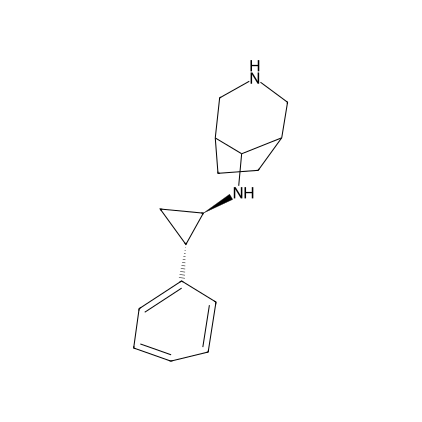 c1ccc([C@@H]2C[C@H]2NC2C3CCC2CNC3)cc1